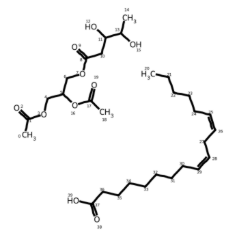 CC(=O)OCC(COC(=O)CC(O)C(C)O)OC(C)=O.CCCCC/C=C\C/C=C\CCCCCCCC(=O)O